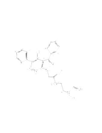 CN(C=N)CCNC(=O)Cn1nc(-c2ccccc2)c2c(Cl)c(-c3ccccc3)nnc21